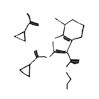 CCOC(=O)c1c(NC(=O)C2CC2)sc2c1CCCC2C.O=C(Cl)C1CC1